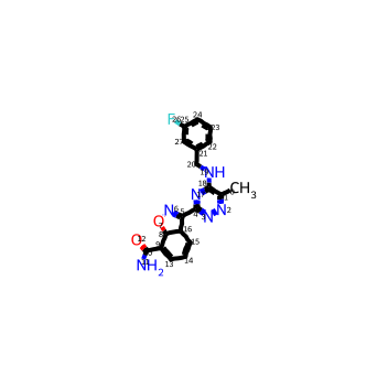 Cc1nnc(C2=NOC3C(C(N)=O)=CC=CC23)nc1NCc1cccc(F)c1